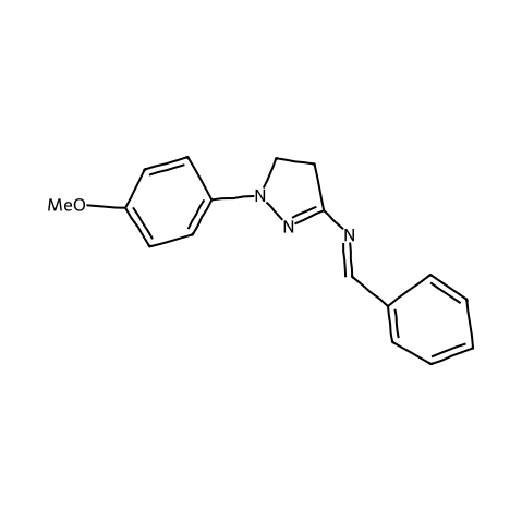 COc1ccc(N2CCC(N=Cc3ccccc3)=N2)cc1